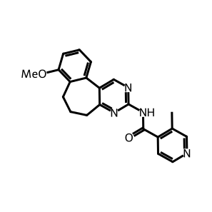 COc1cccc2c1CCCc1nc(NC(=O)c3ccncc3C)ncc1-2